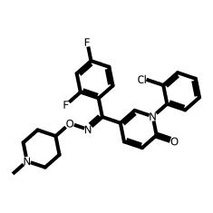 CN1CCC(ON=C(c2ccc(=O)n(-c3ccccc3Cl)c2)c2ccc(F)cc2F)CC1